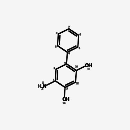 Nc1cc(-c2ccccc2)c(O)cc1O